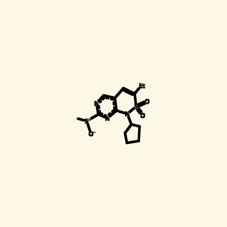 CCC1=Cc2cnc([S+](C)[O-])nc2N(C2CCCC2)S1(=O)=O